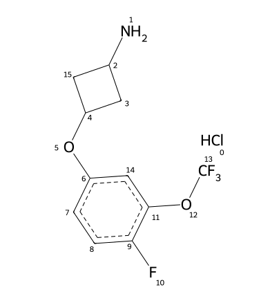 Cl.NC1CC(Oc2ccc(F)c(OC(F)(F)F)c2)C1